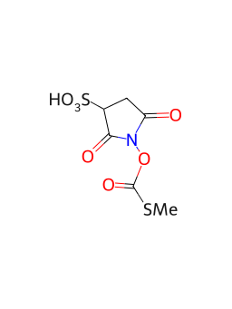 CSC(=O)ON1C(=O)CC(S(=O)(=O)O)C1=O